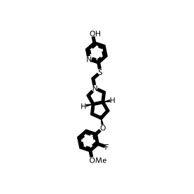 COc1cccc(O[C@H]2C[C@@H]3CN(CSc4ccc(O)cn4)C[C@@H]3C2)c1F